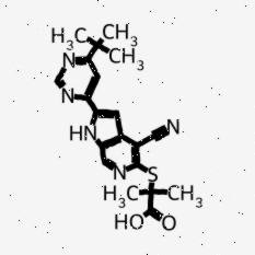 CC(C)(Sc1ncc2[nH]c(-c3cc(C(C)(C)C)ncn3)cc2c1C#N)C(=O)O